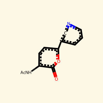 CC(=O)Nc1ccc(-c2cccnc2)oc1=O